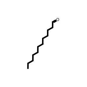 CCCCCC[CH]CCCCC=O